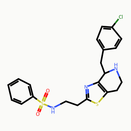 O=S(=O)(NCCc1nc2c(s1)CCNC2Cc1ccc(Cl)cc1)c1ccccc1